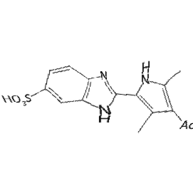 CC(=O)c1c(C)[nH]c(-c2nc3ccc(S(=O)(=O)O)cc3[nH]2)c1C